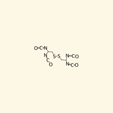 O=C=NC(CSSCC(N=C=O)N=C=O)N=C=O